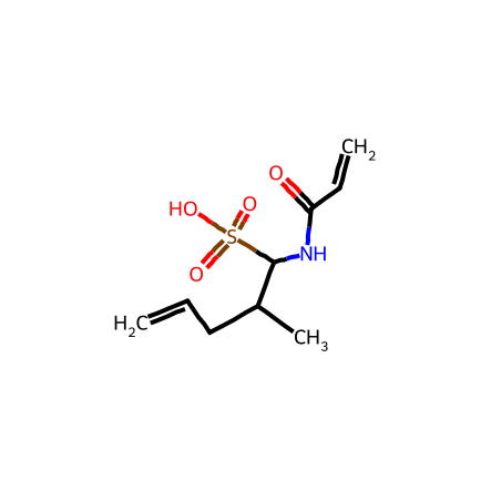 C=CCC(C)C(NC(=O)C=C)S(=O)(=O)O